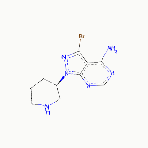 Nc1ncnc2c1c(Br)nn2[C@@H]1CCCNC1